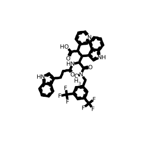 CN(Cc1cc(C(F)(F)F)cc(C(F)(F)F)c1)C(=O)C(NC(=O)CCc1c[nH]c2ccccc12)C(c1c[nH]c2ccccc12)C(C(=O)O)c1cccnc1